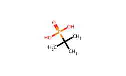 [CH2]C(C)(C)P(=O)(O)O